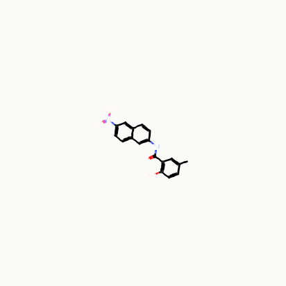 Cc1ccc(O)c(C(=O)Nc2ccc3cc([N+](=O)[O-])ccc3c2)c1